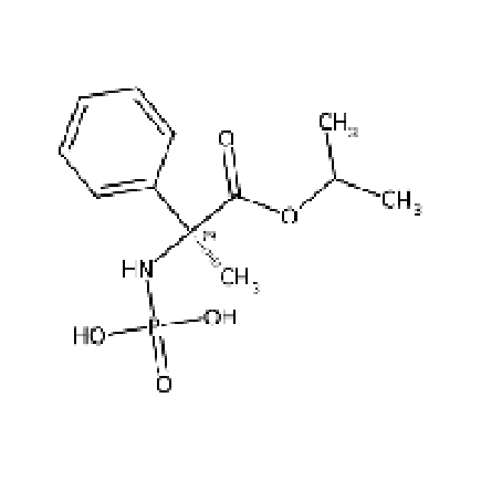 CC(C)OC(=O)[C@@](C)(NP(=O)(O)O)c1ccccc1